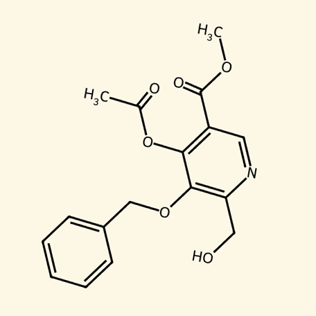 COC(=O)c1cnc(CO)c(OCc2ccccc2)c1OC(C)=O